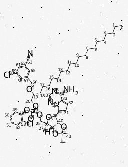 CCCCCCCCCCCCCCCCCCC[C@H](COP(=O)(OC[C@@]1(C)O[C@@H](C2CC=C3C(N)=NC=NN32)C2OC(C)(C)O[C@@H]21)Oc1ccccc1Cl)OCc1cc(Cl)cc(C#N)c1